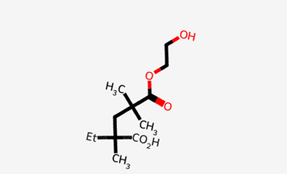 CCC(C)(CC(C)(C)C(=O)OCCO)C(=O)O